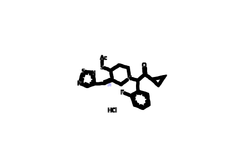 CC(=O)SC1CCN(C(C(=O)C2CC2)c2ccccc2F)C/C1=C/c1cnsn1.Cl